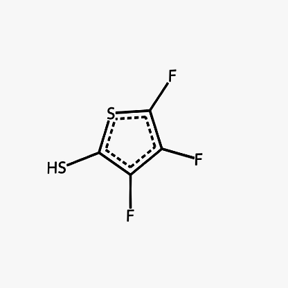 Fc1sc(S)c(F)c1F